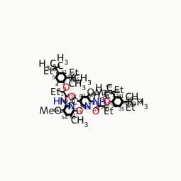 CCC(Oc1ccc(C(C)(C)CC)cc1C(C)(C)CC)C(=O)Nc1nc(Oc2nc(NC(=O)C(CC)Oc3ccc(C(C)(C)CC)cc3C(C)(C)CC)c(OC)cc2C)c(C)cc1OC